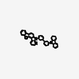 c1cc(-c2cccc(-n3c4ccc5c6ccccc6oc5c4c4cccnc43)c2)cc(-n2c3ccccc3c3ccccc32)c1